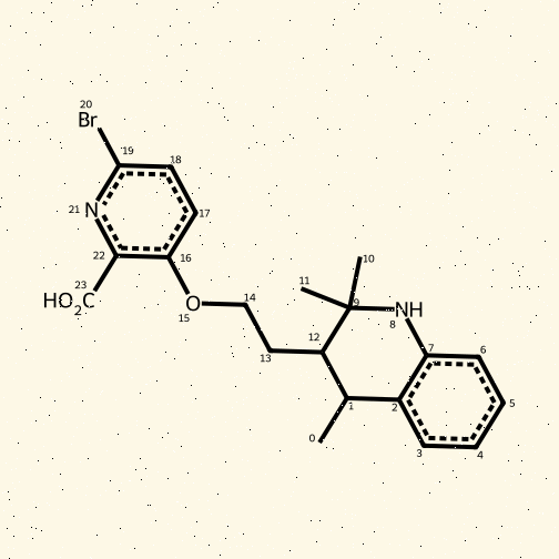 CC1c2ccccc2NC(C)(C)C1CCOc1ccc(Br)nc1C(=O)O